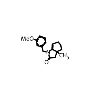 COc1cccc(CN2C(=O)CC3(C)CCCC=C23)c1